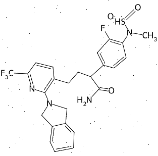 CN(c1ccc(C(CCc2ccc(C(F)(F)F)nc2N2Cc3ccccc3C2)C(N)=O)cc1F)[SH](=O)=O